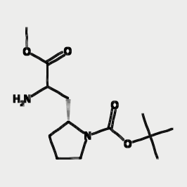 COC(=O)C(N)C[C@H]1CCCN1C(=O)OC(C)(C)C